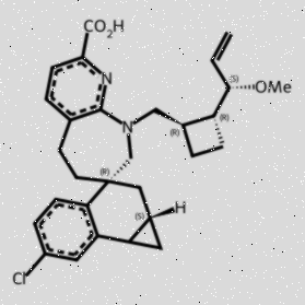 C=C[C@H](OC)[C@@H]1CC[C@H]1CN1C[C@]2(CCc3ccc(C(=O)O)nc31)C[C@@H]1CC1c1cc(Cl)ccc12